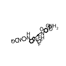 COc1cc(S(N)(=O)=O)ccc1NCC#Cc1cc2c(N[C@H]3CC[C@@H](N4CCC(OC)CC4)CC3)cccc2n1C(CF)C(F)F